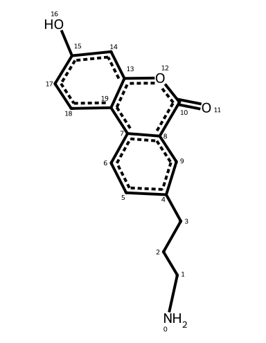 NCCCc1ccc2c(c1)c(=O)oc1cc(O)ccc12